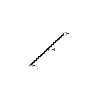 CCCCCCCCCCCCCCCCCC[AsH]CCCCCCCCCCCCCCCCCC